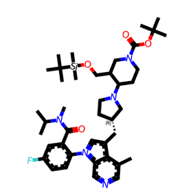 Cc1cncc2c1c(C[C@@H]1CCN(C3CCN(C(=O)OC(C)(C)C)CC3CO[Si](C)(C)C(C)(C)C)C1)cn2-c1ccc(F)cc1C(=O)N(C)C(C)C